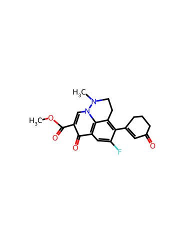 COC(=O)c1cn2c3c(c(C4=CC(=O)CCC4)c(F)cc3c1=O)CCN2C